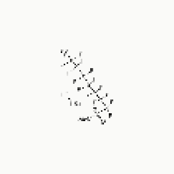 CCCCO.CNS(=O)(=O)C(F)(F)C(F)(F)C(F)(F)C(F)(F)C(F)(F)C(F)(F)C(F)(F)C(F)(F)F